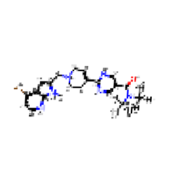 [2H]C([2H])([2H])N(C(=O)c1cnc(C2=CCN(Cc3cc4c(Br)ccnc4n3C)CC2)nc1)C([2H])([2H])[2H]